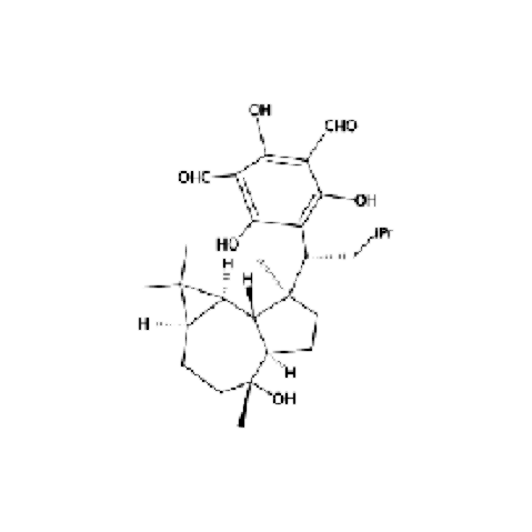 CC(C)C[C@@H](c1c(O)c(C=O)c(O)c(C=O)c1O)[C@@]1(C)CC[C@@H]2[C@@H]1[C@H]1[C@@H](CC[C@@]2(C)O)C1(C)C